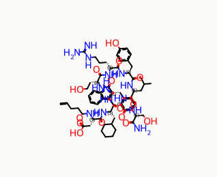 C=CCCC(=O)N[C@@H](CC(=O)O)C(=O)N[C@@H](CC1CCCCC1)C(=O)N[C@@H](Cc1ccccc1)C(=O)N[C@H](CCO)C(=O)N[C@H](CCCNC(=N)N)C(=O)N[C@@H](Cc1ccc(O)cc1)C(=O)N[C@@H](CC(C)C)C(=O)N[C@@H](Cc1c[nH]c2ccccc12)C(=O)N[C@@H](CO)C(N)=O